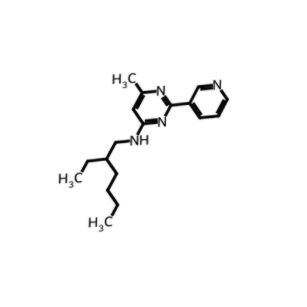 CCCCC(CC)CNc1cc(C)nc(-c2cccnc2)n1